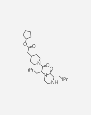 CC(C)C[C@@H]1NCCN([C@@H](CC(C)C)C(=O)N2CCC(CC(=O)OC3CCCC3)CC2)C1=O